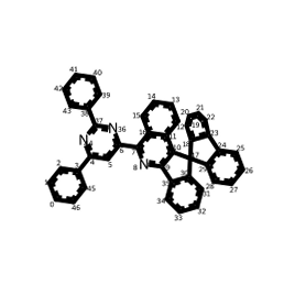 c1ccc(-c2cc(-c3nc4c(c5ccccc35)C3(c5ccccc5-c5ccccc53)c3ccccc3-4)nc(-c3ccccc3)n2)cc1